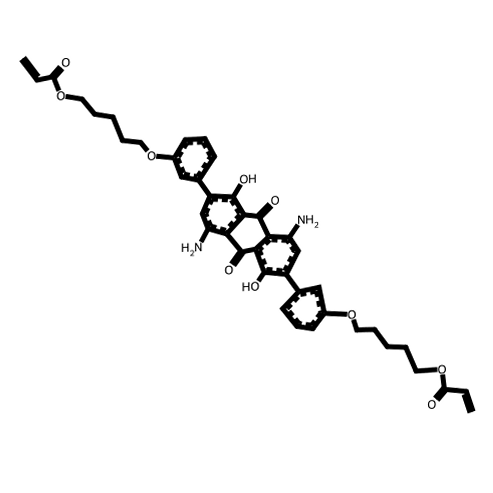 C=CC(=O)OCCCCCOc1cccc(-c2cc(N)c3c(c2O)C(=O)c2c(N)cc(-c4cccc(OCCCCCOC(=O)C=C)c4)c(O)c2C3=O)c1